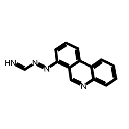 N=CN=Nc1cccc2c1cnc1ccccc12